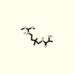 COC(OC)[SiH2]CCC(C)(C)CNC(=O)C(C)O